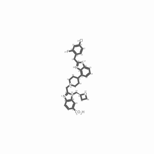 O=C(O)c1ccc2nc(CN3CCC(c4cccc5sc(Cc6ccc(Cl)cc6F)nc45)CC3)n(C[C@@H]3CCO3)c2c1